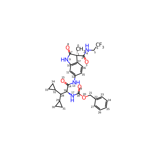 C[C@@]1(C(=O)NCC(F)(F)F)C(=O)Nc2cc(NC(=O)[C@@H](NC(=O)OCc3ccccc3)C(C3CC3)C3CC3)ccc21